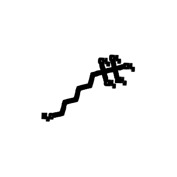 BC(C)(C)C(C)(C)CCCCCCC